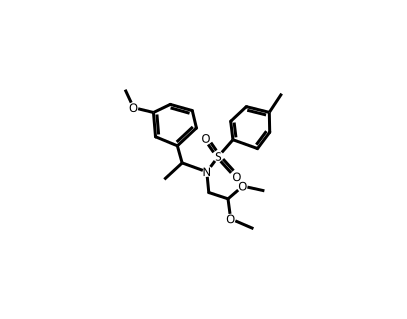 COc1cccc(C(C)N(CC(OC)OC)S(=O)(=O)c2ccc(C)cc2)c1